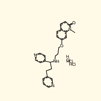 Cl.Cl.Cl.Cn1c(=O)ccc2ccc(OCCCNC(CCc3cccnc3)c3ccncc3)cc21